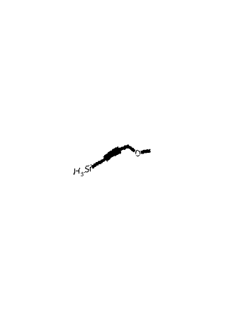 COCC#C[SiH3]